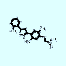 CCN(C)C=Nc1cc(C)c(C2=NOC(c3ccccc3C)C2)cc1C